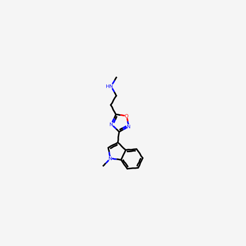 CNCCc1nc(-c2cn(C)c3ccccc23)no1